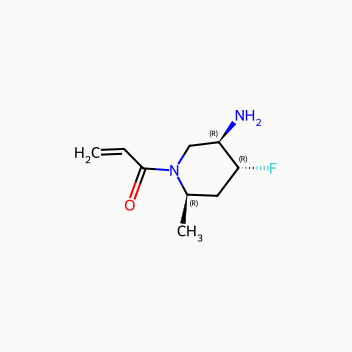 C=CC(=O)N1C[C@@H](N)[C@H](F)C[C@H]1C